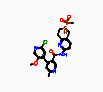 COc1cnc(Cl)cc1-c1cc(C)ncc1C(=O)Nc1ccc2c(n1)CC[SH](S(C)(=O)=O)C2